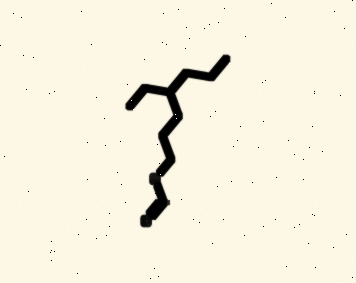 CCCC(CC)CCCO[C]=O